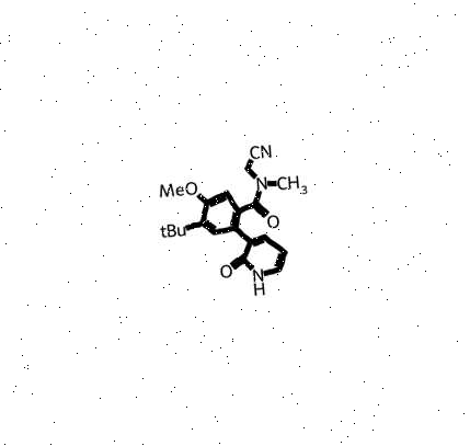 COc1cc(C(=O)N(C)CC#N)c(-c2ccc[nH]c2=O)cc1C(C)(C)C